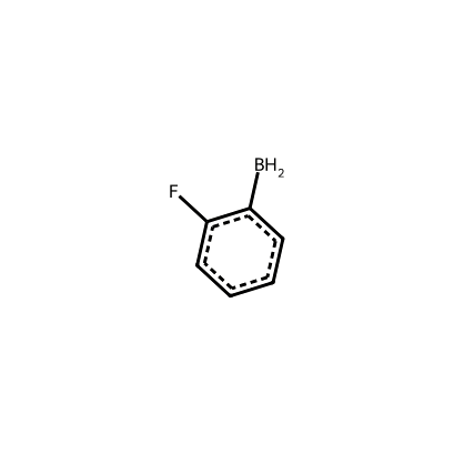 Bc1ccccc1F